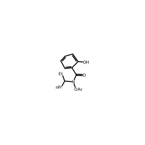 CCCC(CC)N(OC(C)=O)C(=O)c1ccccc1O